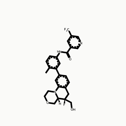 Cc1ccc(NC(=O)c2cncc(C(F)(F)F)c2)cc1-c1ccc2c(c1)N1CCOC[C@H]1[C@@](F)(CO)C2